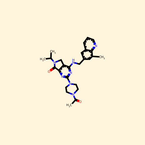 CC(=O)N1CCN(c2nc(NCc3cc(C)c4ncccc4c3)c3c(n2)C(=O)N(C(C)C)C3)CC1